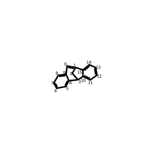 C1=C2CC(c3ccccc31)c1ccccc12